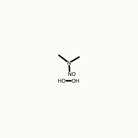 CN(C)N=O.OO